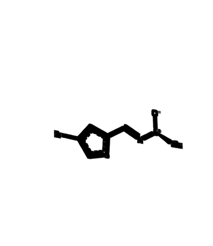 CC(C)(C)[S@+]([O-])N=Cc1cc(Br)cs1